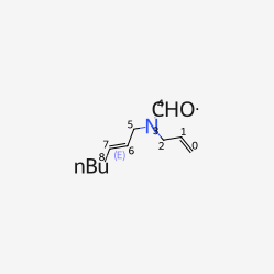 C=CCN([C]=O)C/C=C/CCCC